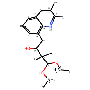 C[SiH2]OC(O[SiH2]C)C(C)(C)C(O)Cc1cccc2cc(C)c(C)nc12